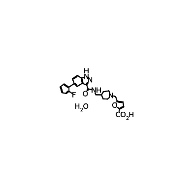 O.O=C(O)c1ccc(CN2CCC(CNC(=O)c3n[nH]c4ccc(-c5ccccc5F)cc34)CC2)o1